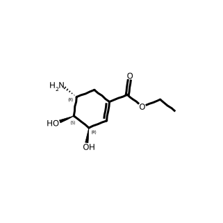 CCOC(=O)C1=C[C@@H](O)[C@@H](O)[C@H](N)C1